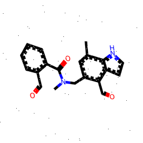 Cc1cc(CN(C)C(=O)c2ccccc2C=O)c(C=O)c2cc[nH]c12